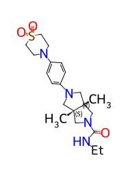 CCNC(=O)N1C[C@@]2(C)CN(c3ccc(N4CCS(=O)(=O)CC4)cc3)C[C@@]2(C)C1